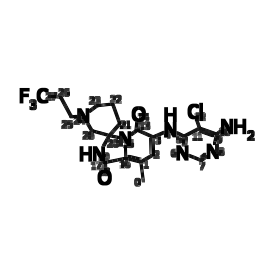 Cc1cc(Nc2ncnc(N)c2Cl)c(=O)n2c1C(=O)NC21CCCN(CCC(F)(F)F)C1